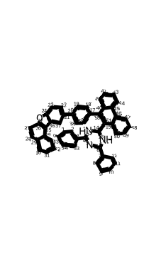 c1ccc(C2=NC(c3ccccc3)NC(c3c(-c4ccc(-c5ccc6oc7ccc8ccccc8c7c6c5)cc4)c4ccccc4c4ccccc34)N2)cc1